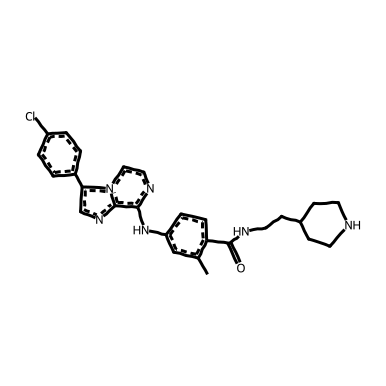 Cc1cc(Nc2nccn3c(-c4ccc(Cl)cc4)cnc23)ccc1C(=O)NCCC1CCNCC1